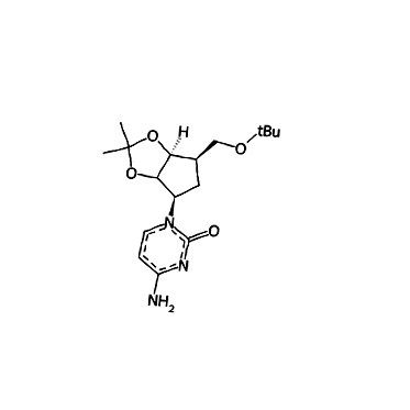 CC(C)(C)OC[C@H]1C[C@@H](n2ccc(N)nc2=O)C2OC(C)(C)O[C@H]21